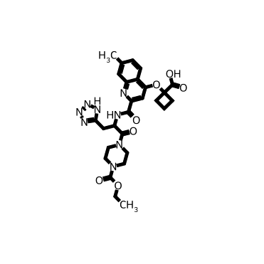 CCOC(=O)N1CCN(C(=O)C(Cc2nnn[nH]2)NC(=O)c2cc(OC3(C(=O)O)CCC3)c3ccc(C)cc3n2)CC1